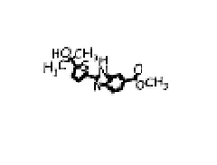 COC(=O)c1ccc2nc(-c3ccc(C(C)(C)O)s3)[nH]c2c1